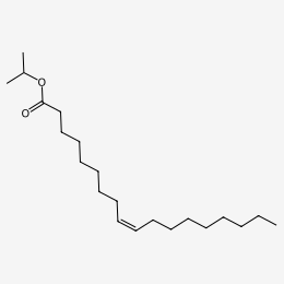 CCCCCCCC/C=C\CCCCCCCC(=O)OC(C)C